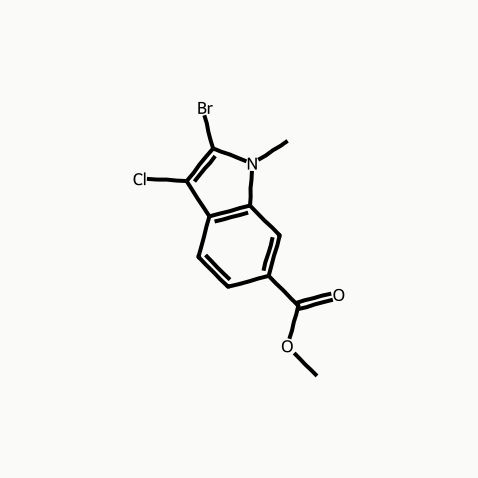 COC(=O)c1ccc2c(Cl)c(Br)n(C)c2c1